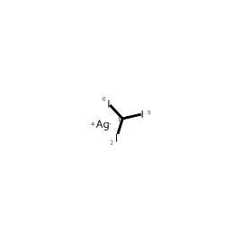 IC(I)I.[Ag]